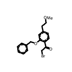 COCCc1ccc(C(=O)CBr)c(OCc2ccccc2)c1